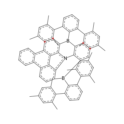 Cc1cc(C)c(-c2cccc(-c3c(C)cc(C)cc3C)c2B2c3cccc4c3-n3c5c2ccc2c6ccccc6c6ccc(c3c6c25)B4c2c(-c3c(C)cc(C)cc3C)cccc2-c2c(C)cc(C)cc2C)c(C)c1